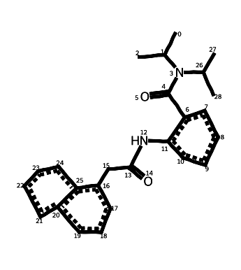 CC(C)N(C(=O)c1ccccc1NC(=O)Cc1cccc2ccccc12)C(C)C